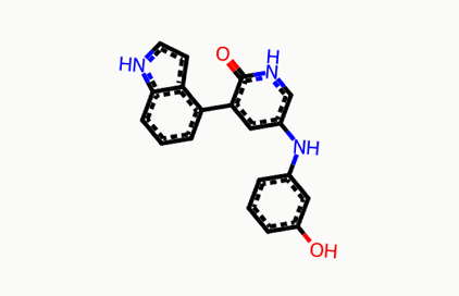 O=c1[nH]cc(Nc2cccc(O)c2)cc1-c1cccc2[nH]ccc12